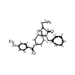 CCOc1ccc(C(=O)N2CCC3(CC2)NC(CC(C)C)C(=O)N3Cc2ccccc2)cc1